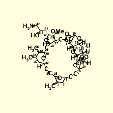 C=C1CC2CC[C@@]34C[C@H]5O[C@H]6[C@@H](O3)[C@H]3OC(CC[C@@H]3O[C@H]6[C@H]5O4)CC(=O)CC3[C@H](CC4O[C@@H](CCC1O2)C[C@@H](C)C4=C)O[C@H](C[C@H](O)CN)[C@@H]3OC